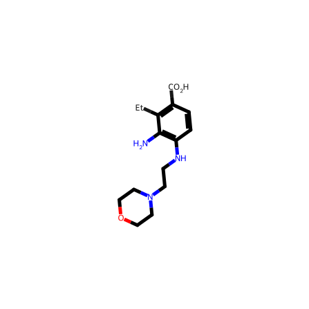 CCc1c(C(=O)O)ccc(NCCN2CCOCC2)c1N